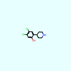 Oc1cc(Cl)c(Cl)cc1C1CCNCC1